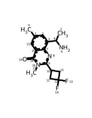 Cc1cc(C(C)N)c2nc(C3CC(F)(F)C3)n(C)c(=O)c2c1